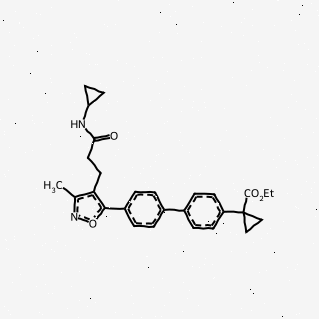 CCOC(=O)C1(c2ccc(-c3ccc(-c4onc(C)c4CCC(=O)NC4CC4)cc3)cc2)CC1